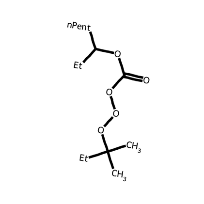 CCCCCC(CC)OC(=O)OOOC(C)(C)CC